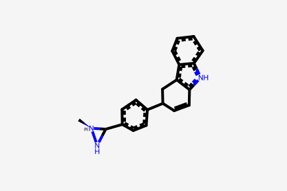 C[N@]1NC1c1ccc(C2C=Cc3[nH]c4ccccc4c3C2)cc1